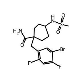 CS(=O)(=O)NC1CCC(Cc2cc(Br)c(F)cc2F)(C(N)=O)CC1